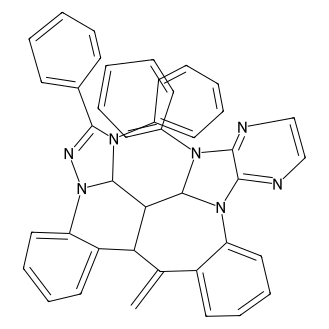 C=C1c2ccccc2N2c3nccnc3N(c3ccccc3)C2C2C1c1ccccc1N1N=C(c3ccccc3)N(c3ccccc3)C21